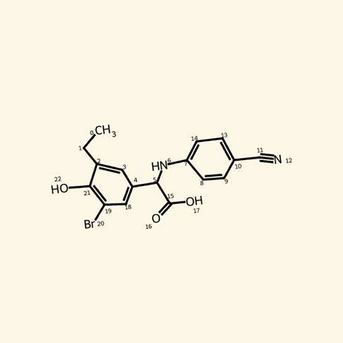 CCc1cc(C(Nc2ccc(C#N)cc2)C(=O)O)cc(Br)c1O